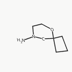 NN1CCOC2(CCC2)C1